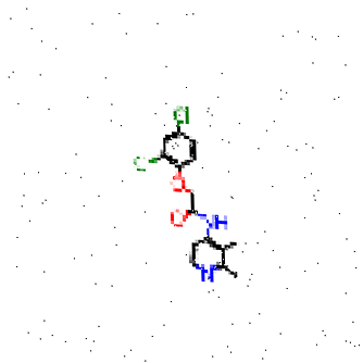 Cc1nccc(NC(=O)COc2ccc(Cl)cc2Cl)c1C